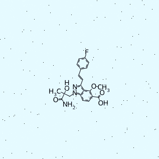 COc1c(C(=O)O)ccc2c1c(C=Cc1ccc(F)cc1)nn2CC(C)(O)C(N)=O